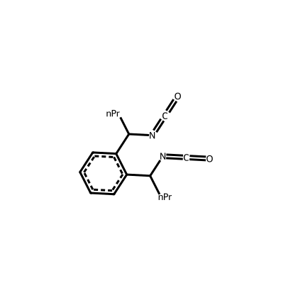 CCCC(N=C=O)c1ccccc1C(CCC)N=C=O